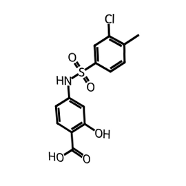 Cc1ccc(S(=O)(=O)Nc2ccc(C(=O)O)c(O)c2)cc1Cl